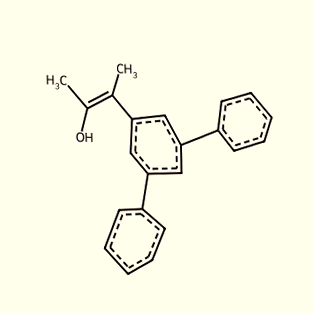 C/C(O)=C(\C)c1cc(-c2ccccc2)cc(-c2ccccc2)c1